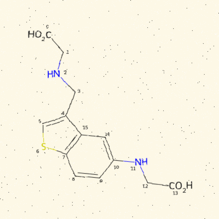 O=C(O)CNCc1csc2ccc(NCC(=O)O)cc12